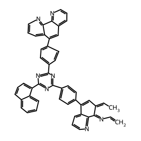 C=C/N=C1\C(=C/C)C=C(c2ccc(-c3nc(-c4ccc(-c5cc6cccnc6c6ncccc56)cc4)nc(-c4cccc5ccccc45)n3)cc2)c2cccnc21